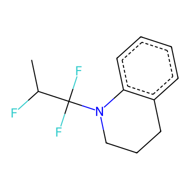 CC(F)C(F)(F)N1CCCc2ccccc21